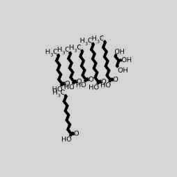 CCCCCCCC(=O)O.CCCCCCCC(=O)O.CCCCCCCC(=O)O.CCCCCCCCCC(=O)O.CCCCCCCCCC(=O)O.CCCCCCCCCC(=O)O.OCC(O)CO